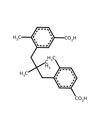 Cc1ccc(C(=O)O)cc1CC(C)(C)Cc1cc(C(=O)O)ccc1C